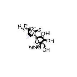 CC(=O)/C=C\N(C(C)=S)[C@@H]1O[C@@](CO)(N=[N+]=[N-])C(O)[C@@H]1O